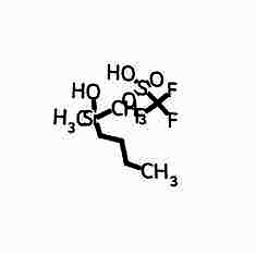 CCCC[Si](C)(C)O.O=S(=O)(O)C(F)(F)F